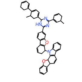 CC1C=C(C2=NC(C3=CC=C(C4=CC=CCC4)C(C)C3)NC(c3ccc4c5c(oc4c3)C(n3c4c(c6ccccc63)C=CC3c6ccccc6OC43)CC=C5)=N2)C=CC1